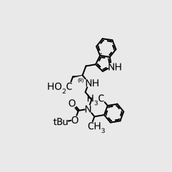 Cc1ccccc1C(C)N(CCN[C@@H](CC(=O)O)Cc1c[nH]c2ccccc12)C(=O)OC(C)(C)C